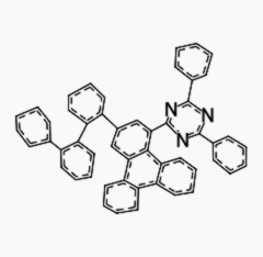 c1ccc(-c2nc(-c3ccccc3)nc(-c3cc(-c4ccccc4-c4ccccc4-c4ccccc4)cc4c5ccccc5c5ccccc5c34)n2)cc1